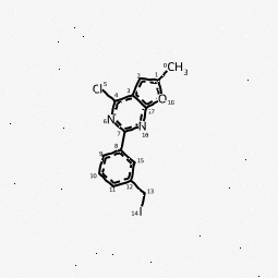 Cc1cc2c(Cl)nc(-c3cccc(CI)c3)nc2o1